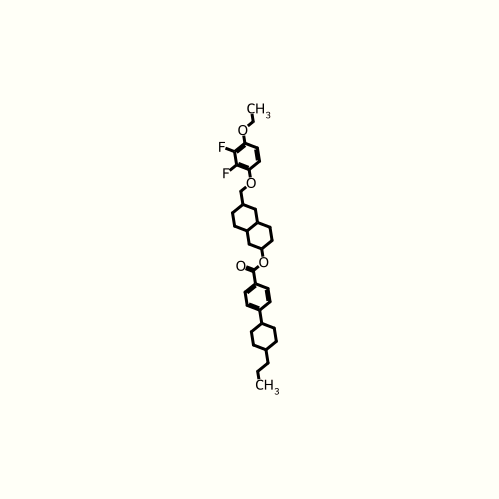 CCCC1CCC(c2ccc(C(=O)OC3CCC4CC(COc5ccc(OCC)c(F)c5F)CCC4C3)cc2)CC1